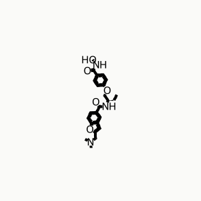 CC[C@@H](COc1ccc(C(=O)NO)cc1)NC(=O)c1ccc2oc(CN(C)C)cc2c1